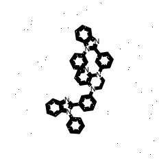 c1ccc(-n2c(-c3cccc(N4CCN(c5cccc(-c6nc7ccccc7n6-c6ccccc6)c5)c5ncccc54)c3)nc3ccccc32)cc1